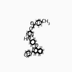 CN1CCN(C(=O)COc2cnc(N[C@H]3CC[C@@H](Oc4nc(N5CCOCC5)cc5ccccc45)CC3)nc2)CC1